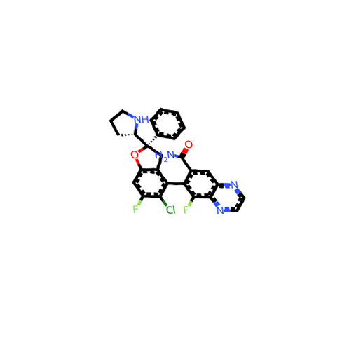 NC(=O)c1cc2nccnc2c(F)c1-c1c(Cl)c(F)cc2c1C[C@](c1ccccc1)([C@@H]1CCCN1)O2